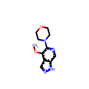 COc1c(N2CCOCC2)ncc2[nH]ncc12